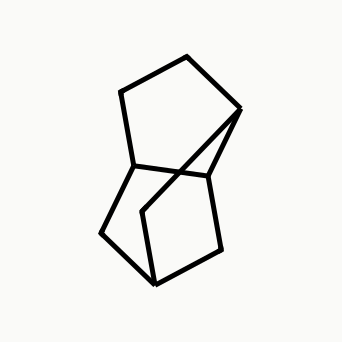 C1CC2CC3CC1C2C3